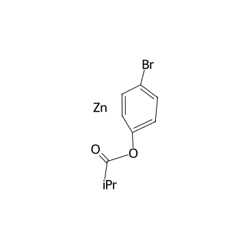 CC(C)C(=O)Oc1ccc(Br)cc1.[Zn]